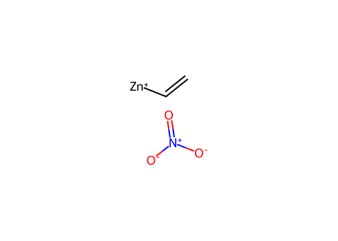 C=[CH][Zn+].O=[N+]([O-])[O-]